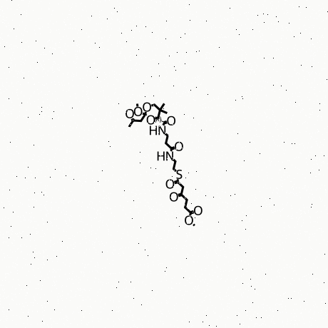 COC(=O)CCC(=O)CC(=O)SCCNC(=O)CCNC(=O)[C@@H]1OC(CC(C)=O)(OC)OCC1(C)C